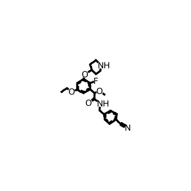 CCOc1cc(OC2CCNCC2)c(F)c(C(OC)C(=O)NCc2ccc(C#N)cc2)c1